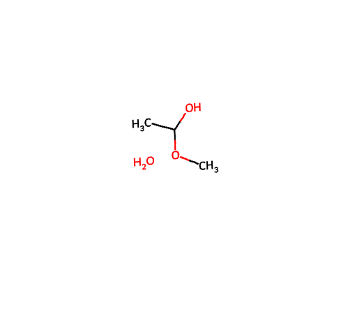 COC(C)O.O